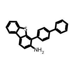 Nc1ccc2c(sc3ccccc32)c1-c1ccc(-c2ccccc2)cc1